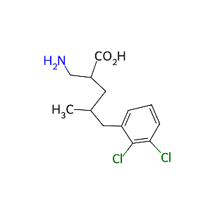 CC(Cc1cccc(Cl)c1Cl)CC(CN)C(=O)O